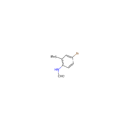 CSc1cc(Br)ccc1NC=O